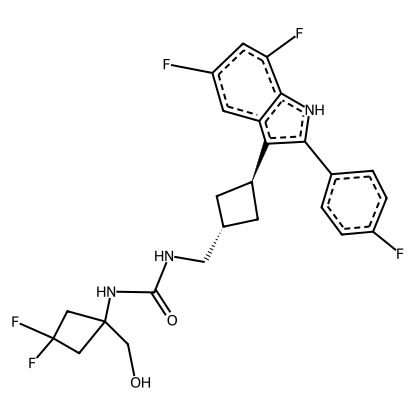 O=C(NC[C@H]1C[C@H](c2c(-c3ccc(F)cc3)[nH]c3c(F)cc(F)cc32)C1)NC1(CO)CC(F)(F)C1